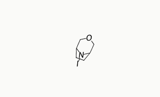 IN1C2CCC1COC2